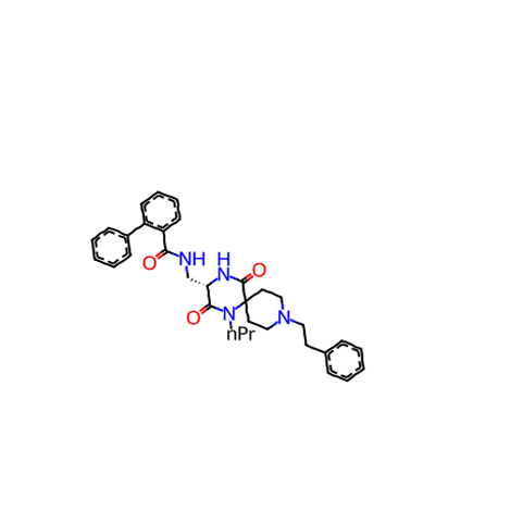 CCCN1C(=O)[C@H](CNC(=O)c2ccccc2-c2ccccc2)NC(=O)C12CCN(CCc1ccccc1)CC2